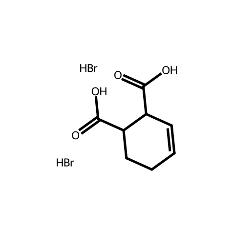 Br.Br.O=C(O)C1C=CCCC1C(=O)O